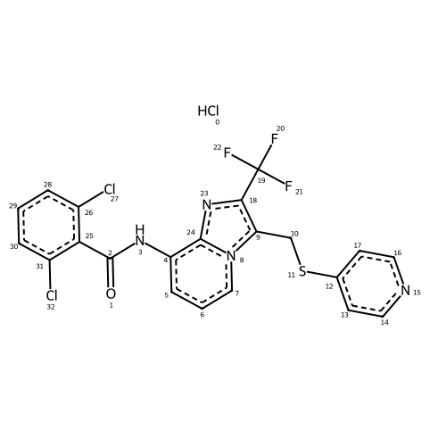 Cl.O=C(Nc1cccn2c(CSc3ccncc3)c(C(F)(F)F)nc12)c1c(Cl)cccc1Cl